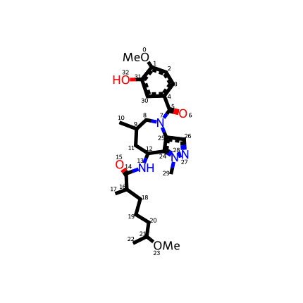 COc1ccc(C(=O)N2CC(C)CC(NC(=O)C(C)CCCC(C)OC)c3c2cnn3C)cc1O